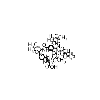 CC(C)C[C@H](NC(=O)c1ccc(/C(=N\C(=O)OC(C)(C)C)N(C(=O)OC(C)(C)C)C(=O)OC(C)(C)C)cc1)C(=O)N1CCc2nn(CC(=O)O)cc2C1